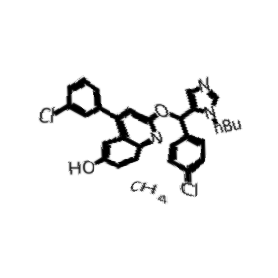 C.CCCCn1cncc1C(Oc1cc(-c2cccc(Cl)c2)c2cc(O)ccc2n1)c1ccc(Cl)cc1